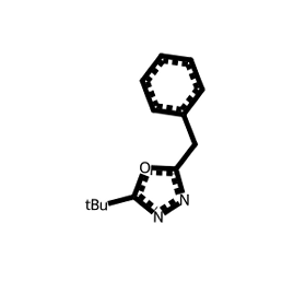 CC(C)(C)c1nnc(Cc2ccccc2)o1